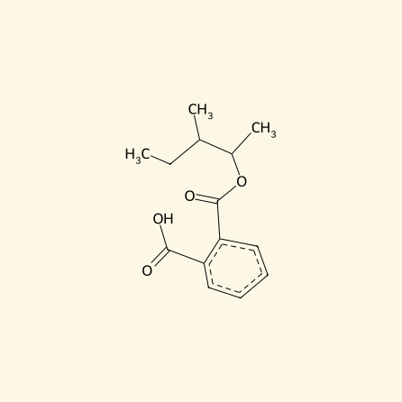 CCC(C)C(C)OC(=O)c1ccccc1C(=O)O